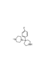 CN1CCN(C2(c3ccc(F)cc3)CCNCC2)CC1